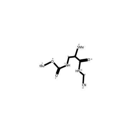 CSC(CNC(=O)OC(C)(C)C)C(=O)NCC#N